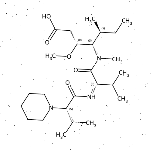 CC[C@H](C)[C@@H]([C@@H](CC(=O)O)OC)N(C)C(=O)[C@@H](NC(=O)[C@H](C(C)C)N1CCCCC1)C(C)C